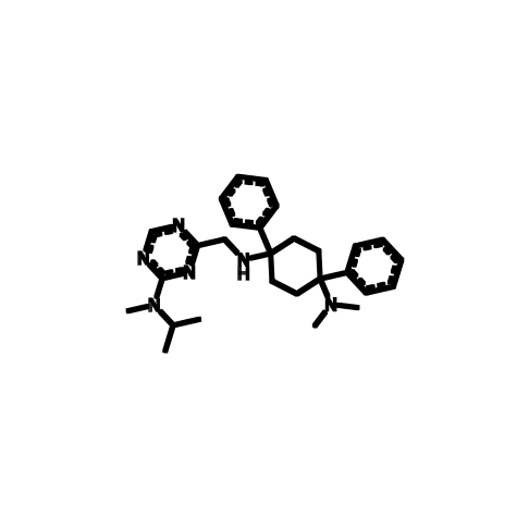 CC(C)N(C)c1ncnc(CNC2(c3ccccc3)CCC(c3ccccc3)(N(C)C)CC2)n1